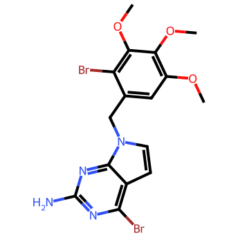 COc1cc(Cn2ccc3c(Br)nc(N)nc32)c(Br)c(OC)c1OC